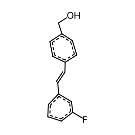 OCc1ccc(/C=C/c2cccc(F)c2)cc1